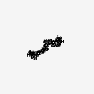 COc1cc(-c2cn(C)c(=O)c3[nH]ncc23)cc(OC)c1CNc1cccc(C(=O)N2CCC(c3ccc(NC4CCC(=O)NC4=O)cc3)CC2)c1